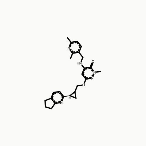 Cc1ccc(CNc2cc(OCC3C[C@H]3c3ccc4c(n3)CCC4)nn(C)c2=O)c(C)n1